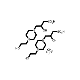 O.O.O=S(=O)(O)CC(O)CN1CCN(CCO)CC1.O=S(=O)(O)CC(O)CN1CCN(CCO)CC1